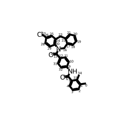 Cc1cccc(C(=O)Nc2ccc(C(=O)N3Cc4ccccc4Cc4cc(Cl)ccc43)cc2)c1C